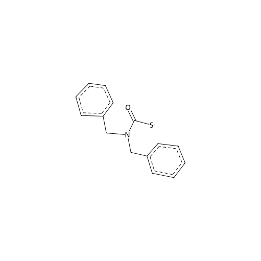 O=C([S])N(Cc1ccccc1)Cc1ccccc1